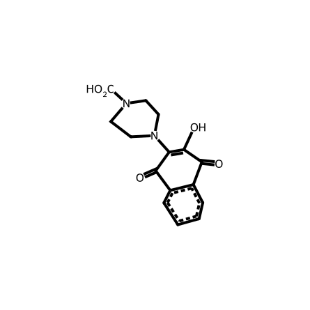 O=C1C(O)=C(N2CCN(C(=O)O)CC2)C(=O)c2ccccc21